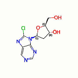 OC[C@@H]1O[C@H](n2c(Cl)nc3cncnc32)C[C@H]1O